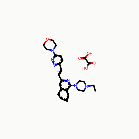 CCN1CCN(c2nc(/C=C/c3ccc(N4CCOCC4)nn3)cc3ccccc23)CC1.O=C(O)C(=O)O